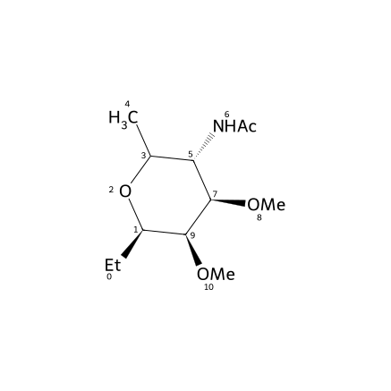 CC[C@H]1OC(C)[C@H](NC(C)=O)[C@@H](OC)[C@H]1OC